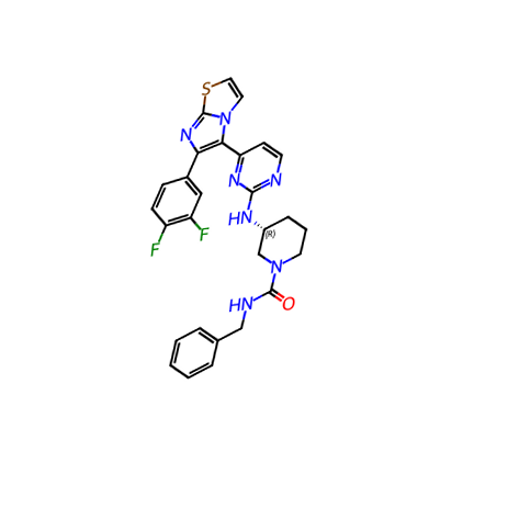 O=C(NCc1ccccc1)N1CCC[C@@H](Nc2nccc(-c3c(-c4ccc(F)c(F)c4)nc4sccn34)n2)C1